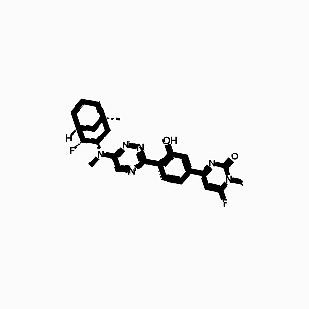 CN(c1cnc(-c2ccc(-c3cc(F)n(C)c(=O)n3)cc2O)nn1)[C@H]1C[C@]2(C)CCC[C@@H](C2)[C@H]1F